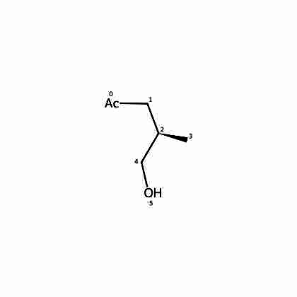 CC(=O)C[C@@H](C)CO